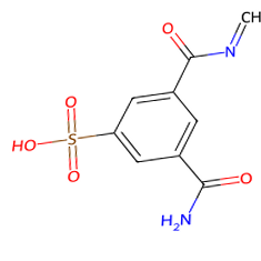 C=NC(=O)c1cc(C(N)=O)cc(S(=O)(=O)O)c1